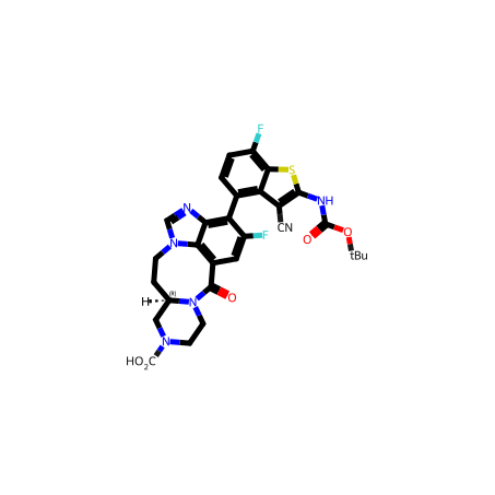 CC(C)(C)OC(=O)Nc1sc2c(F)ccc(-c3c(F)cc4c5c3ncn5CC[C@@H]3CN(C(=O)O)CCN3C4=O)c2c1C#N